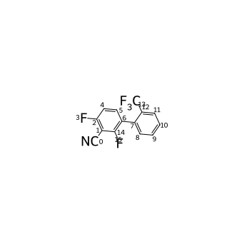 N#Cc1c(F)ccc(-c2ccccc2C(F)(F)F)c1F